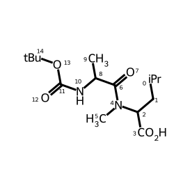 CC(C)CC(C(=O)O)N(C)C(=O)C(C)NC(=O)OC(C)(C)C